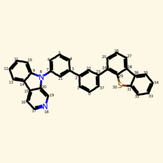 c1cc(-c2cccc(-n3c4ccccc4c4ccncc43)c2)cc(-c2cccc3c2sc2ccccc23)c1